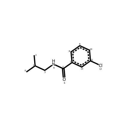 CC(C)CNC(=O)c1cccc(Cl)c1